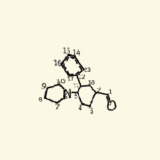 O=CC1CCC(N2CCCC2)C(c2ccccc2)C1